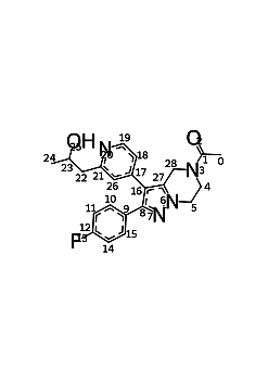 CC(=O)N1CCn2nc(-c3ccc(F)cc3)c(-c3ccnc(CC(C)O)c3)c2C1